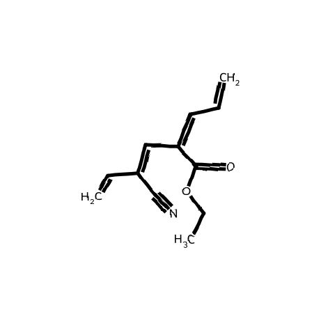 C=CC=C(C=C(C#N)C=C)C(=O)OCC